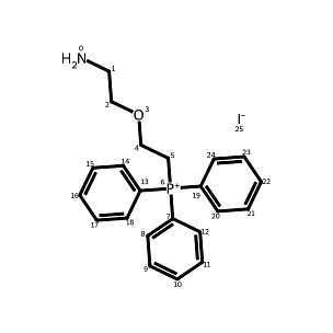 NCCOCC[P+](c1ccccc1)(c1ccccc1)c1ccccc1.[I-]